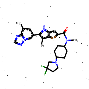 Cc1cc(-c2[nH]c3cc(C(=O)N(C)C4CCC(N5CCC(F)(F)C5)CC4)sc3c2C(C)C)cn2ncnc12